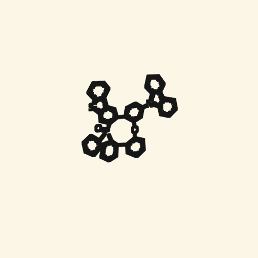 O=P1(c2ccccc2)c2ccccc2-c2ccccc2Oc2cc(-n3c4ccccc4c4ccccc43)ccc2-c2cc3c(cc21)sc1ccccc13